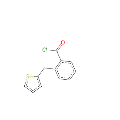 O=C(Cl)c1ccccc1Cc1cccs1